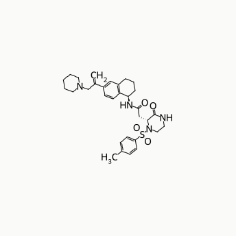 C=C(CN1CCCCC1)c1ccc2c(c1)CCC[C@H]2NC(=O)C[C@@H]1C(=O)NCCN1S(=O)(=O)c1ccc(C)cc1